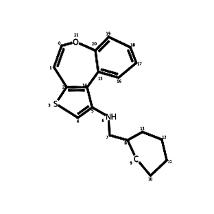 C1=Cc2scc(NCC3CCCCC3)c2-c2ccccc2O1